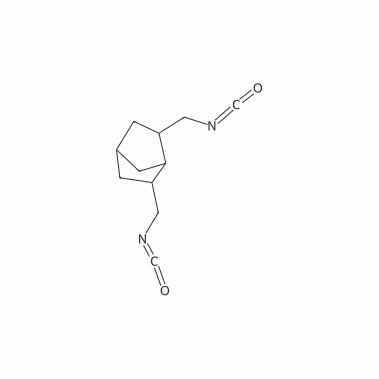 O=C=NCC1CC2CC(CN=C=O)C1C2